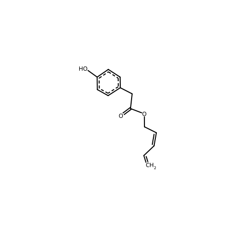 C=C/C=C\COC(=O)Cc1ccc(O)cc1